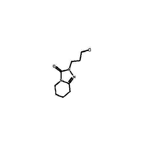 O=c1n(CCCCl)nc2n1CCCC2